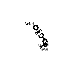 CNC(=O)c1cnn2ccc(C3CCN(S(=O)(=O)c4ccc(NC(C)=O)cc4)CC3)cc12